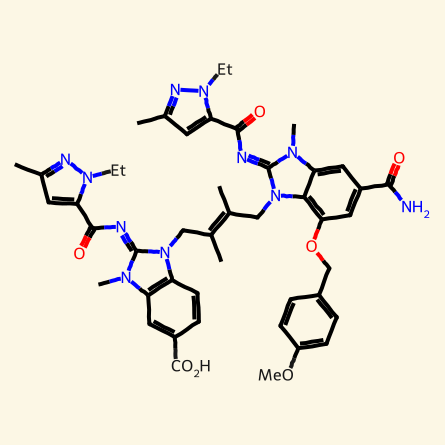 CCn1nc(C)cc1C(=O)/N=c1\n(C)c2cc(C(=O)O)ccc2n1C/C(C)=C(\C)Cn1/c(=N/C(=O)c2cc(C)nn2CC)n(C)c2cc(C(N)=O)cc(OCc3ccc(OC)cc3)c21